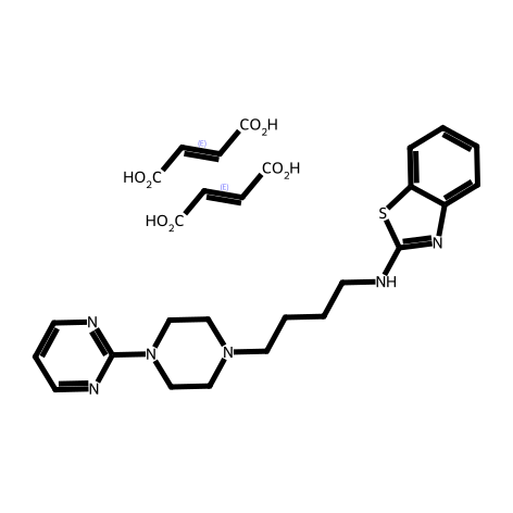 O=C(O)/C=C/C(=O)O.O=C(O)/C=C/C(=O)O.c1cnc(N2CCN(CCCCNc3nc4ccccc4s3)CC2)nc1